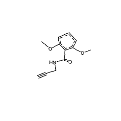 C#CCNC(=O)c1c(OC)cccc1OC